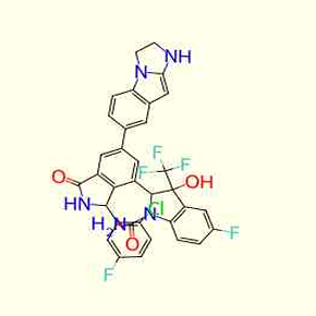 NC(=O)N1c2ccc(F)cc2C(O)(C(F)(F)F)C1c1cc(-c2ccc3c(c2)cc2n3CCN2)cc2c1C(c1cc(F)ccc1Cl)NC2=O